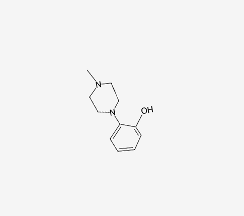 CN1CCN(c2ccccc2O)CC1